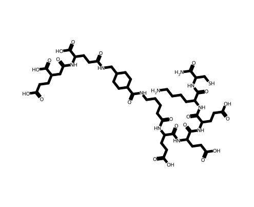 NCCCCC(NC(=O)C(CCC(=O)O)NC(=O)C(CCC(=O)O)NC(=O)C(CCC(=O)O)NC(=O)CCCCNC(=O)C1CCC(CNC(=O)CCC(NC(=O)CC(CCC(=O)O)C(=O)O)C(=O)O)CC1)C(=O)NC(CS)C(N)=O